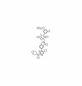 COc1cc(F)cc(C(NC(=O)CN2Cc3ccc(-c4nc(NC5CCOCC5)ncc4Cl)cc3C2=O)C(C)O)c1